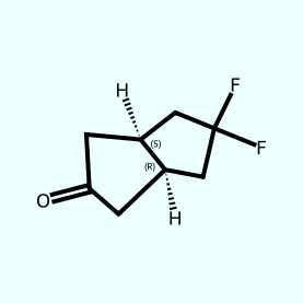 O=C1C[C@@H]2CC(F)(F)C[C@@H]2C1